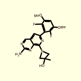 COc1cc(OC)c(F)c(-c2cc3cnc(N)nc3c(N3CC(C)(O)C3)n2)c1F